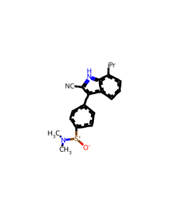 CC(C)c1cccc2c(-c3ccc([S+]([O-])N(C)C)cc3)c(C#N)[nH]c12